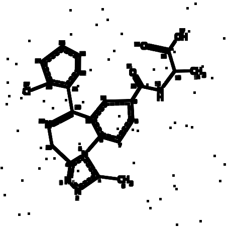 Cc1nnc2n1-c1ccc(C(=O)NC(C)C(=O)O)cc1C(c1ccccc1Cl)=NC2